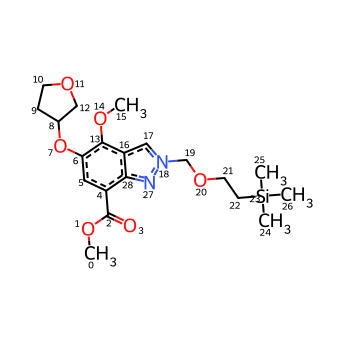 COC(=O)c1cc(OC2CCOC2)c(OC)c2cn(COCC[Si](C)(C)C)nc12